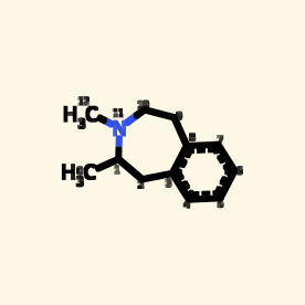 CC1Cc2ccccc2CCN1C